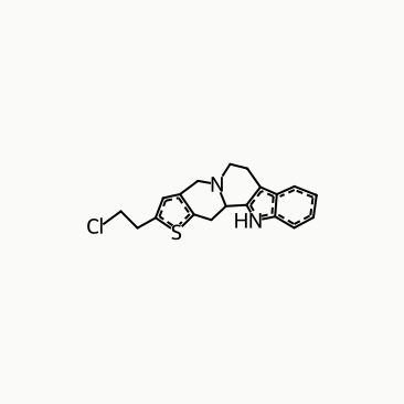 ClCCc1cc2c(s1)CC1c3[nH]c4ccccc4c3CCN1C2